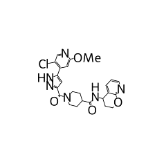 COc1cc(-c2cc(C(=O)N3CCC(C(=O)NC4CCOc5ncccc54)CC3)n[nH]2)c(Cl)cn1